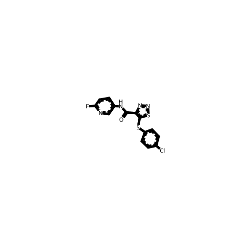 O=C(Nc1ccc(F)nc1)c1nnsc1Sc1ccc(Cl)cc1